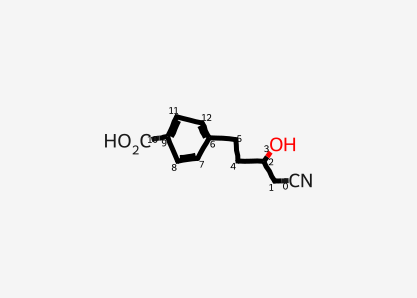 N#CCC(O)CCc1ccc(C(=O)O)cc1